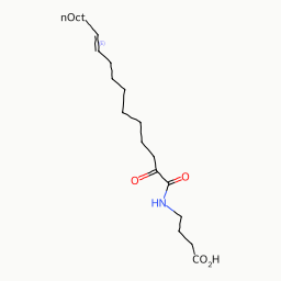 CCCCCCCC/C=C/CCCCCCCC(=O)C(=O)NCCCC(=O)O